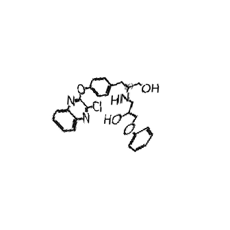 OC[C@H](Cc1ccc(Oc2nc3ccccc3nc2Cl)cc1)NCC(O)COc1ccccc1